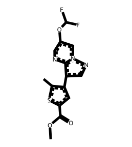 COC(=O)c1cc(-c2cnn3cc(OC(F)F)cnc23)c(C)s1